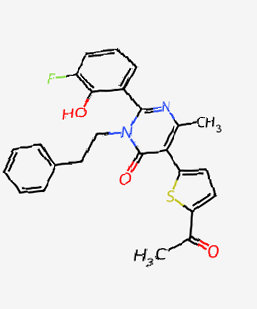 CC(=O)c1ccc(-c2c(C)nc(-c3cccc(F)c3O)n(CCc3ccccc3)c2=O)s1